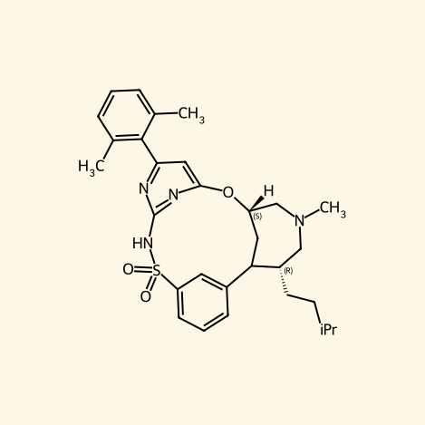 Cc1cccc(C)c1-c1cc2nc(n1)NS(=O)(=O)c1cccc(c1)C1C[C@@H](CN(C)C[C@@H]1CCC(C)C)O2